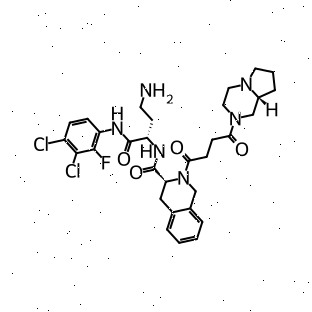 NCC[C@H](NC(=O)[C@@H]1Cc2ccccc2CN1C(=O)CCC(=O)N1CCN2CCC[C@@H]2C1)C(=O)Nc1ccc(Cl)c(Cl)c1F